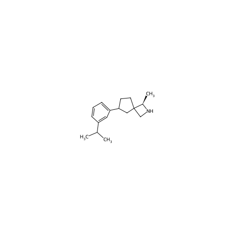 CC(C)c1cccc(C2CCC3(CN[C@@H]3C)C2)c1